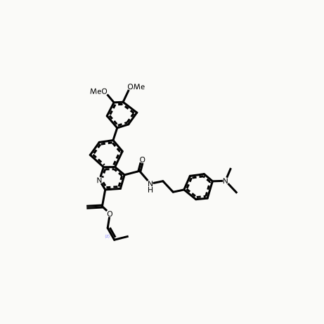 C=C(O/C=C\C)c1cc(C(=O)NCCc2ccc(N(C)C)cc2)c2cc(-c3ccc(OC)c(OC)c3)ccc2n1